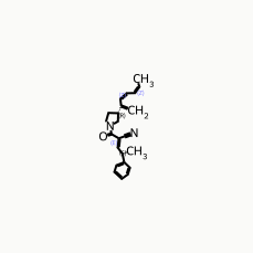 C=C(/C=C\C=C/C)[C@H]1CCN(C(=O)/C(C#N)=C/[C@H](C)c2ccccc2)C1